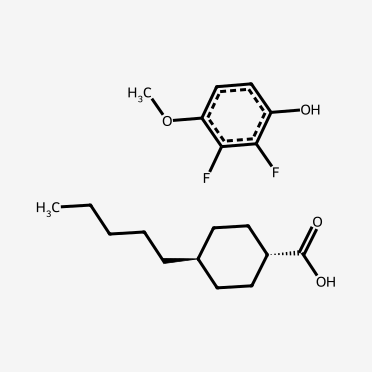 CCCCC[C@H]1CC[C@H](C(=O)O)CC1.COc1ccc(O)c(F)c1F